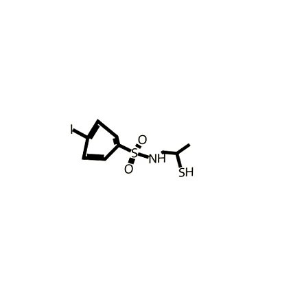 CC(S)CNS(=O)(=O)c1ccc(I)cc1